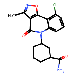 Cc1noc2c1c(=O)n(C1CCCC(C(N)=O)C1)c1cccc(Cl)c21